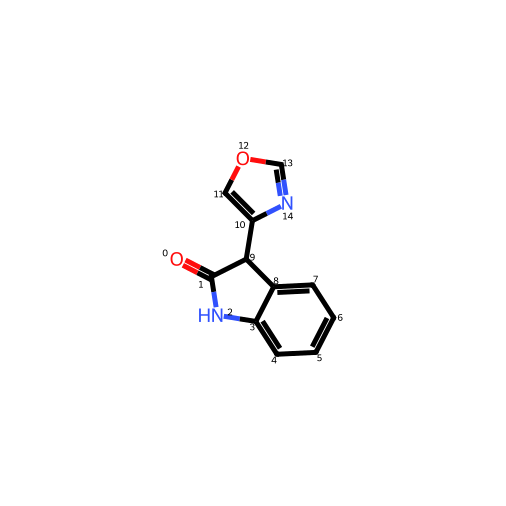 O=C1Nc2ccccc2C1c1cocn1